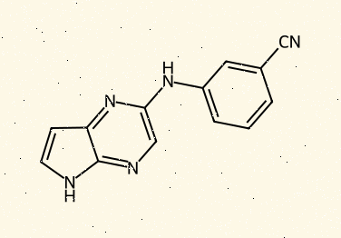 N#Cc1cccc(Nc2cnc3[nH]ccc3n2)c1